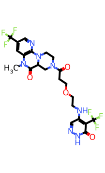 CN1C(=O)C2CN(C(=O)CCOCCNc3cn[nH]c(=O)c3C(F)(F)F)CCN2c2ncc(C(F)(F)F)cc21